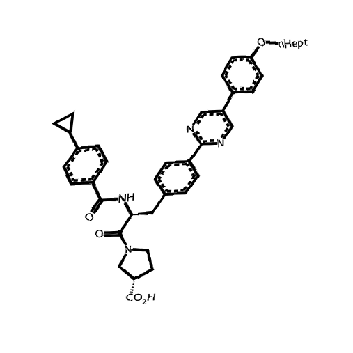 CCCCCCCOc1ccc(-c2cnc(-c3ccc(C[C@H](NC(=O)c4ccc(C5CC5)cc4)C(=O)N4CC[C@H](C(=O)O)C4)cc3)nc2)cc1